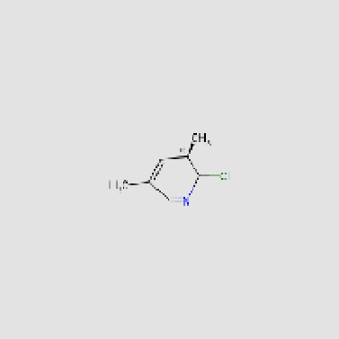 CC1=C[C@@H](C)C(Cl)N=C1